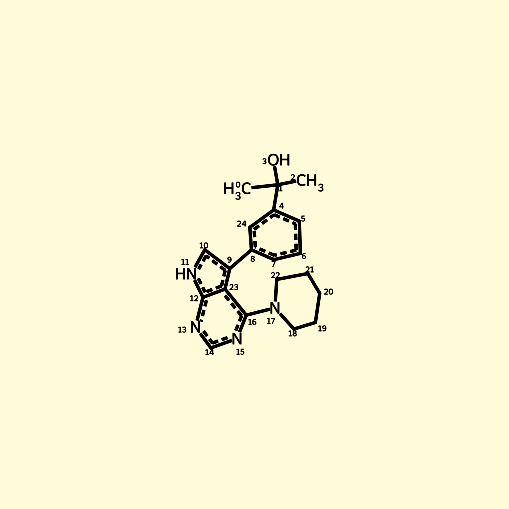 CC(C)(O)c1cccc(-c2c[nH]c3ncnc(N4CCCCC4)c23)c1